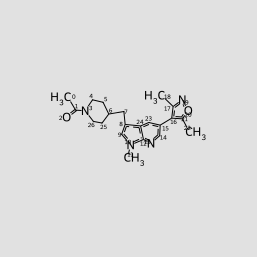 CC(=O)N1CCC(Cc2cn(C)c3ncc(-c4c(C)noc4C)cc23)CC1